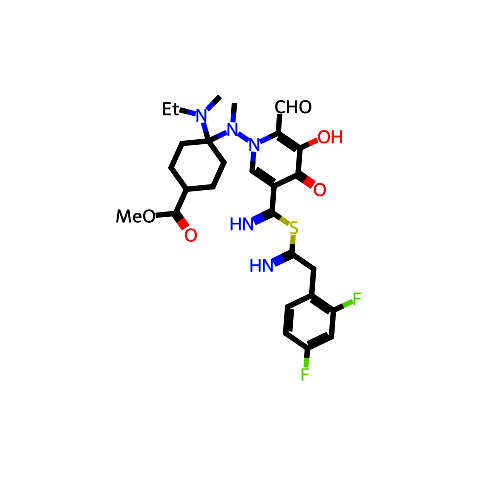 CCN(C)C1(N(C)n2cc(C(=N)SC(=N)Cc3ccc(F)cc3F)c(=O)c(O)c2C=O)CCC(C(=O)OC)CC1